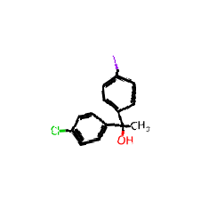 CC(O)(c1ccc(Cl)cc1)c1ccc(I)cc1